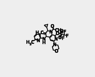 CC(=O)N1c2c(cc(N3CCOCC3)nc2OS(=O)(=O)C(F)(F)F)C(Nc2cccc(C)n2)[C@@H](C)C1C1CC1